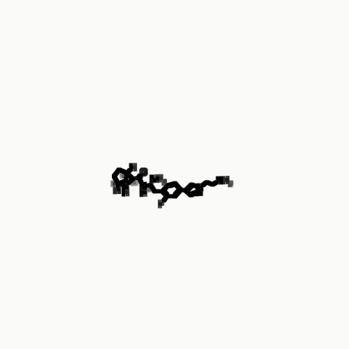 NCCn1cc(-c2ccc(C[C@@H](N)NC(=O)[C@H]3N[C@@H]4CC[C@H]3C4)c(F)c2)cn1